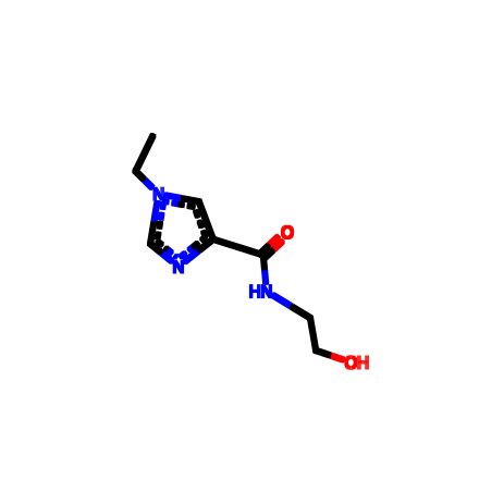 CCn1cnc(C(=O)NCCO)c1